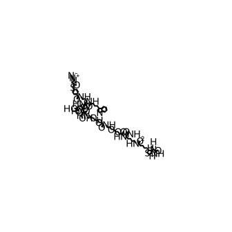 [N-]=[N+]=NCC(=O)Sc1ccc(C(=O)NCCC(NC(=O)CCCc2c[nH]c3ccccc23)C(=O)NC(CC(=O)O)C(=O)NC(CO)C(=O)NCCOCCOCC(=O)NCCOCCOCC(=O)NC(CCCCNC(=O)CCCC[C@@H]2SC[C@@H]3NC(=O)N[C@@H]32)C(N)=O)cc1